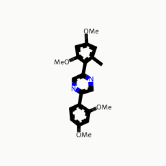 COc1ccc(-c2cnc(-c3c(C)cc(OC)cc3OC)cn2)c(OC)c1